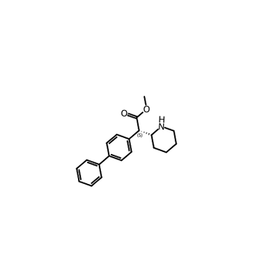 COC(=O)[C@@H](c1ccc(-c2ccccc2)cc1)C1CCCCN1